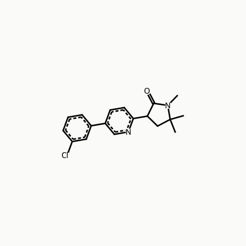 CN1C(=O)C(c2ccc(-c3cccc(Cl)c3)cn2)CC1(C)C